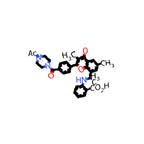 CC(=O)N1CCN(C(=O)c2ccc(-c3oc4c([C@@H](C)Nc5ccccc5C(=O)O)cc(C)cc4c(=O)c3C)cc2)CC1